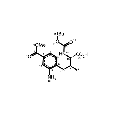 COC(=O)c1ccc(S[C@H](C)[C@H](NC(=O)OC(C)(C)C)C(=O)O)c(N)c1